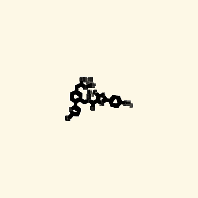 Cc1ccc(-c2nc(C(=O)NCc3cc(CC(OC(C)C)C(=O)O)ccc3-c3ccc(Cl)s3)c(C)s2)cc1